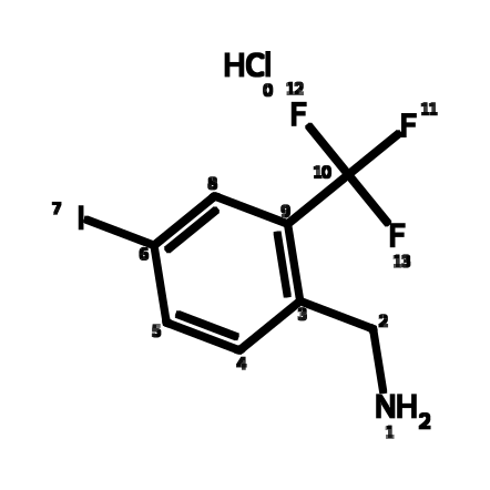 Cl.NCc1ccc(I)cc1C(F)(F)F